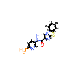 O=C(Nc1ccc(P)nc1)c1cn2c(n1)sc1ccccc12